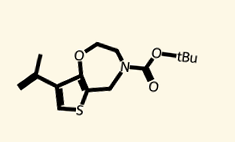 C=C(C)c1csc2c1OCCN(C(=O)OC(C)(C)C)C2